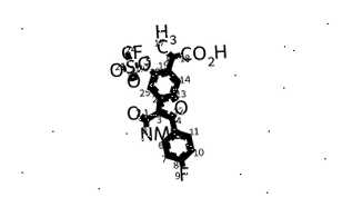 CNC(=O)c1c(-c2ccc(F)cc2)oc2cc(C(C)C(=O)O)c(OS(=O)(=O)C(F)(F)F)cc12